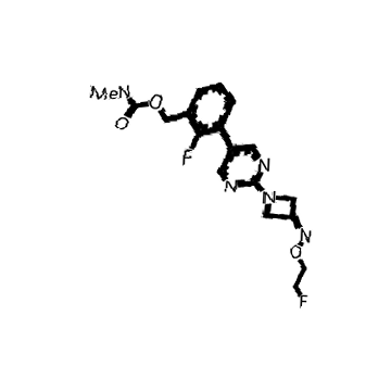 CNC(=O)OCc1cccc(-c2cnc(N3CC(=NOCCF)C3)nc2)c1F